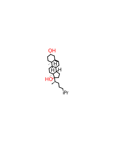 CC(C)CCC[C@@H](C)[C@@]1(O)CC[C@H]2[C@@H]3CC=C4C[C@@H](O)CC[C@]4(C)[C@H]3CC[C@@]21C